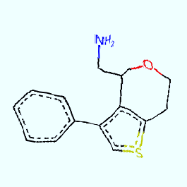 NCC1OCCc2scc(-c3ccccc3)c21